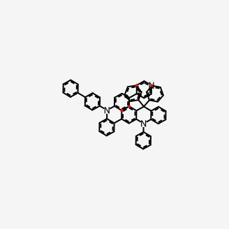 c1ccc(-c2ccc(N(c3ccc(-c4ccncc4)cc3)c3ccccc3-c3ccc4c(c3)N(c3ccccc3)c3ccccc3C4(c3ccccc3)c3ccccc3)cc2)cc1